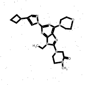 CCn1c(N2CCN(C)C(=O)C2)nc2c(N3CCOCC3)nc(-n3cc(C4CCC4)cn3)nc21